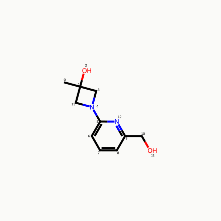 CC1(O)CN(c2cccc(CO)n2)C1